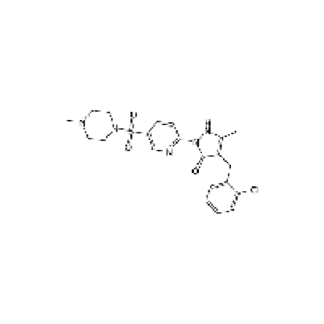 Cc1[nH]n(-c2ccc(S(=O)(=O)N3CCN(C)CC3)cn2)c(=O)c1Cc1ccccc1Cl